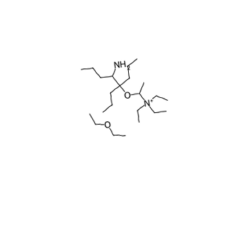 CCCC(N)C(CCC)(CCC)OC(C)[N+](CC)(CC)CC.CCOCC